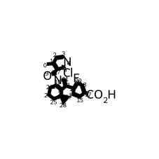 Cc1ccnc(Cl)c1C(=O)n1cc(-c2ccc(C(=O)O)cc2F)c2c1CCCC21CC1